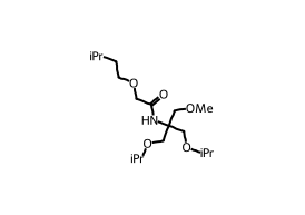 COCC(COC(C)C)(COC(C)C)NC(=O)COCCC(C)C